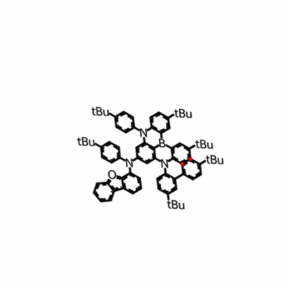 CC(C)(C)c1ccc(-c2cc(C(C)(C)C)ccc2N2c3ccc(C(C)(C)C)cc3B3c4cc(C(C)(C)C)ccc4N(c4ccc(C(C)(C)C)cc4)c4cc(N(c5ccc(C(C)(C)C)cc5)c5cccc6c5oc5ccccc56)cc2c43)cc1